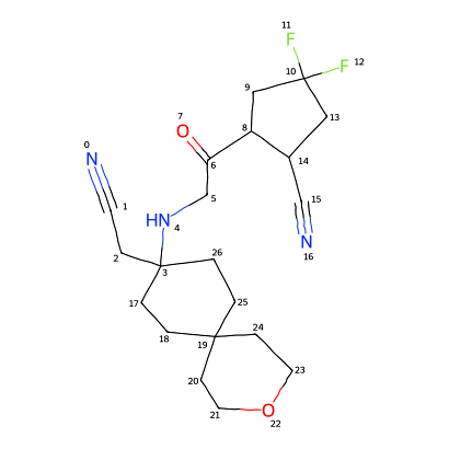 N#CCC1(NCC(=O)C2CC(F)(F)CC2C#N)CCC2(CCOCC2)CC1